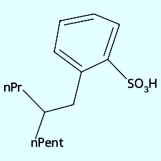 CCCCCC(CCC)Cc1ccccc1S(=O)(=O)O